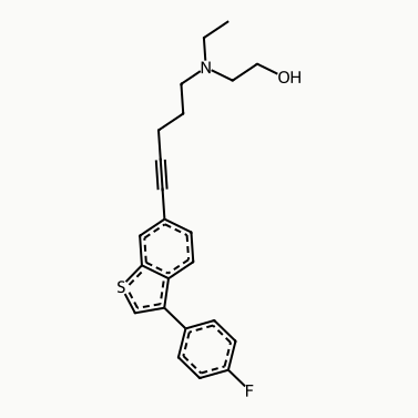 CCN(CCO)CCCC#Cc1ccc2c(-c3ccc(F)cc3)csc2c1